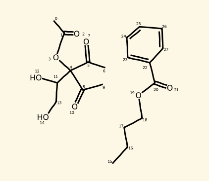 CC(=O)OC(C(C)=O)(C(C)=O)C(O)CO.CCCCOC(=O)c1ccccc1